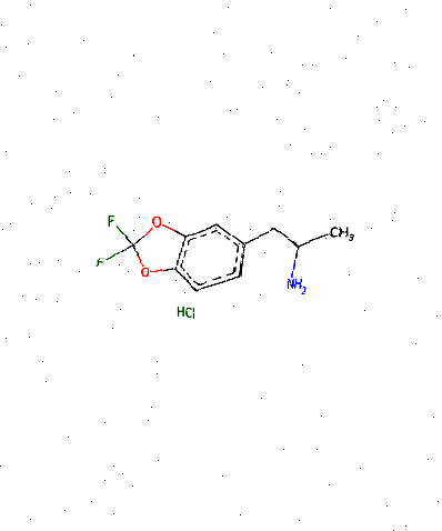 CC(N)Cc1ccc2c(c1)OC(F)(F)O2.Cl